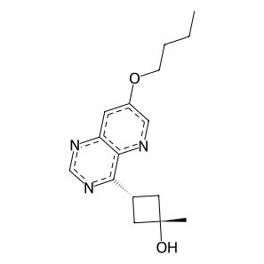 CCCCOc1cnc2c(c1)ncnc2[C@H]1C[C@@](C)(O)C1